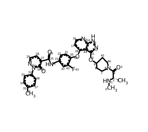 CN[C@@H](C)C(=O)N1CCC(Oc2n[nH]c3nccc(Oc4ccc(NC(=O)c5ccnn(-c6ccc(C)cc6)c5=O)cc4F)c23)CC1